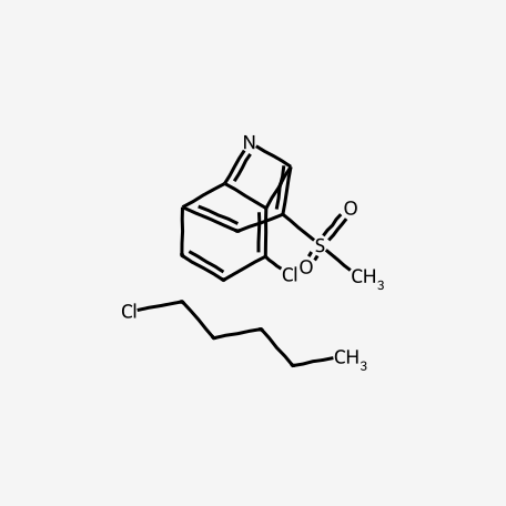 CCCCCCl.CS(=O)(=O)c1cc2ccc(Cl)c3c1nc23